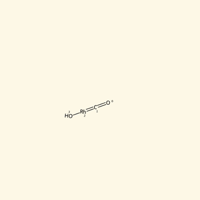 O=[C]=[Rh][OH]